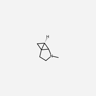 CN1CCC23C[C@H]2C13